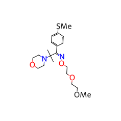 COCCOCCON=C(c1ccc(SC)cc1)C(C)(C)N1CCOCC1